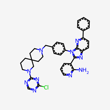 Nc1ncccc1-c1nc2ccc(-c3ccccc3)nc2n1-c1ccc(CN2CCC3(CCCN(c4ncnc(Cl)n4)C3)CC2)cc1